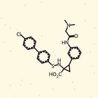 CN(C)CC(=O)Nc1cccc(C2CC2(NSc2ccc(-c3ccc(Cl)cc3)cc2)C(=O)O)c1